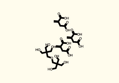 C=C(CC(=O)O)C(=O)O.C=C(CC(=O)O)C(=O)O.C=C(CC(=O)O)C(=O)O.OCC(CO)(CO)COCC(CO)(CO)CO